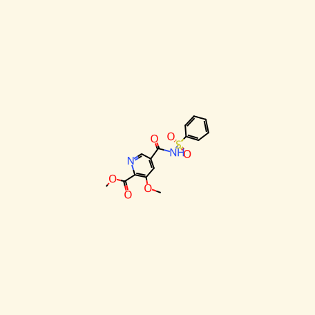 COC(=O)c1ncc(C(=O)NS(=O)(=O)c2ccccc2)cc1OC